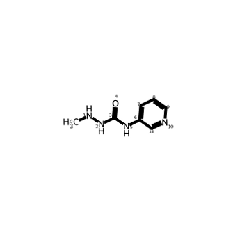 CNNC(=O)Nc1cccnc1